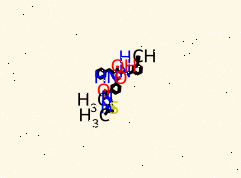 C#Cc1cccc(CNCC(O)C(Cc2ccccc2)NC(=O)c2cccc(C(=O)N(C)Cc3nc(C)cs3)c2)c1